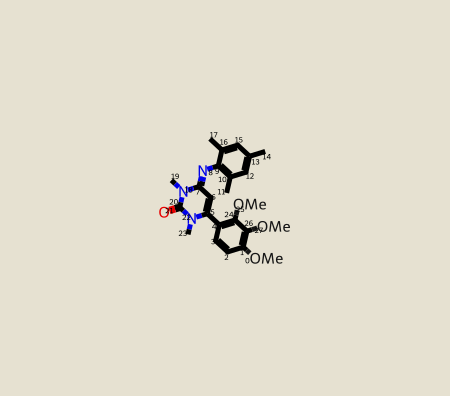 COc1ccc(-c2cc(=Nc3c(C)cc(C)cc3C)n(C)c(=O)n2C)c(OC)c1OC